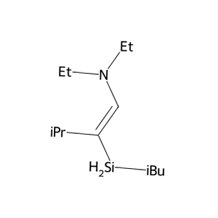 CCC(C)[SiH2]C(=CN(CC)CC)C(C)C